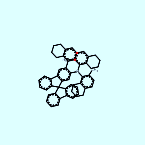 Cc1ccc2c(c1N(c1cc3c(cc1-c1cccc4c1CCCC4)-c1ccccc1C31c3ccccc3-c3ccccc31)c1c(C)ccc3c1CCCC3)CCCC2